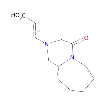 O=C(O)/C=C/N1CC(=O)N2CCCCCC2C1